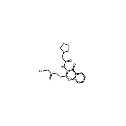 O=C(CO)CSc1nc2ccccc2c(=O)n1NC(=O)CC1CCCC1